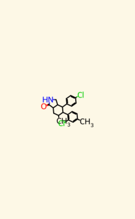 Cc1ccc(C2C(C)CC3C(=O)NCC3C2c2ccc(Cl)cc2)c(Cl)c1